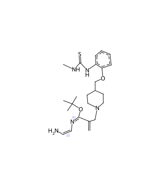 C=C(CN1CCC(COc2ccccc2NC(=S)NC)CC1)/C(=N\C=C/N)OC(C)(C)C